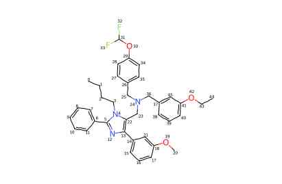 CCCCn1c(-c2ccccc2)nc(-c2cccc(OC)c2)c1CN(Cc1ccc(OC(F)F)cc1)Cc1cccc(OCC)c1